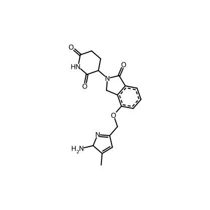 CC1=CC(COc2cccc3c2CN(C2CCC(=O)NC2=O)C3=O)=NC1N